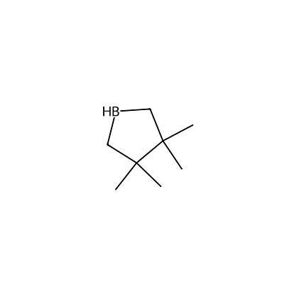 CC1(C)CBCC1(C)C